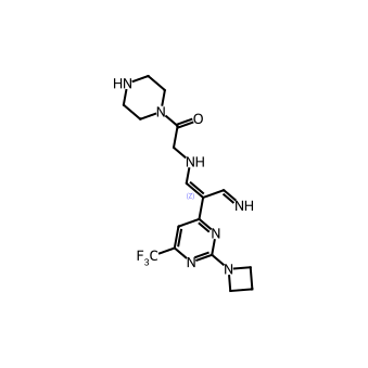 N=C/C(=C\NCC(=O)N1CCNCC1)c1cc(C(F)(F)F)nc(N2CCC2)n1